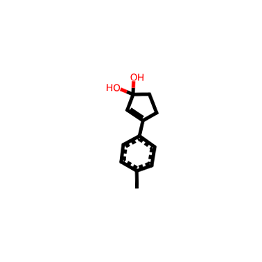 Cc1ccc(C2=CC(O)(O)CC2)cc1